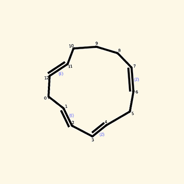 [CH]1/C=C/C=C\C/C=C\CCC/C=C/1